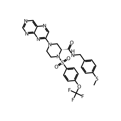 CSc1ccc(CNC(=O)[C@H]2CN(c3cnc4cncnc4n3)CCN2S(=O)(=O)c2ccc(OC(F)(F)F)cc2)cc1